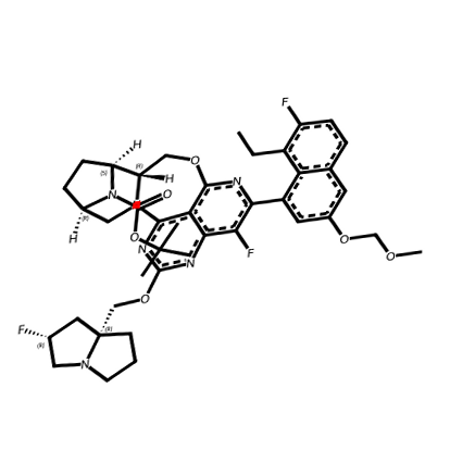 CCc1c(F)ccc2cc(OCOC)cc(-c3nc4c5c(nc(OC[C@]67CCCN6C[C@H](F)C7)nc5c3F)N3C[C@H]5CC[C@@H]([C@@H]3CO4)N5C(=O)OC(C)(C)C)c12